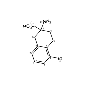 CCc1cccc2c1CCC(N)(C(=O)O)C2